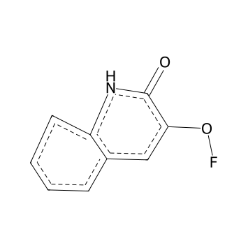 O=c1[nH]c2ccccc2cc1OF